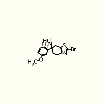 COc1cccc(C2(N)CCc3nc(Br)sc3C2)c1.Cl